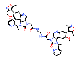 COc1cc2c(cc1-c1c(C)noc1C)ncc1c2n(C(C)c2ccccn2)c(=O)n1CC(=O)NCCNC(=O)Cn1c(=O)n(C(C)c2ccccn2)c2c3cc(OC)c(-c4c(C)noc4C)cc3ncc21